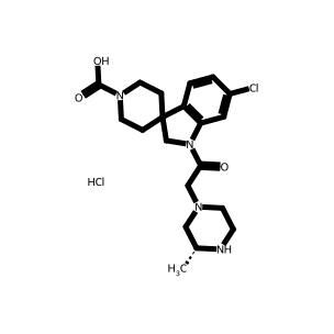 C[C@@H]1CN(CC(=O)N2CC3(CCN(C(=O)O)CC3)c3ccc(Cl)cc32)CCN1.Cl